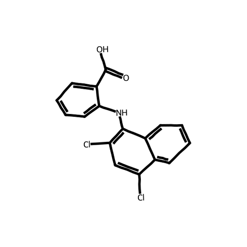 O=C(O)c1ccccc1Nc1c(Cl)cc(Cl)c2ccccc12